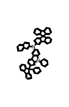 c1ccc(-n2c3ccc(N(c4ccc5c(c4)-c4ccccc4C54c5ccccc5-c5ccccc54)c4ccc5ccccc5c4)cc3c3ccc(C4(c5ccccc5)c5ccccc5-c5ccccc54)cc32)cc1